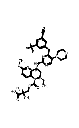 CC[C@@H]1C[C@H](Nc2ncc(N3CCOCC3)c(Cc3cc(C#N)cc(C(F)(F)F)c3)n2)c2nc(OC)ccc2N1C(=O)OCC(C)(C)C(=O)O